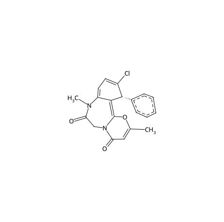 CC1=CC(=O)N2CC(=O)N(C)C3=CC=C(Cl)[C@H](c4ccccc4)C3=C2O1